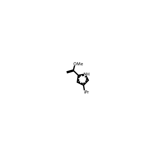 C=C(OC)c1cc(C(C)C)c[nH]1